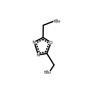 CC(C)(C)Cc1nnc(CC(C)(C)C)o1